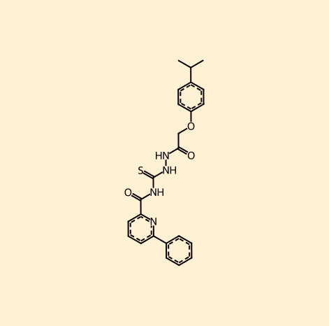 CC(C)c1ccc(OCC(=O)NNC(=S)NC(=O)c2cccc(-c3ccccc3)n2)cc1